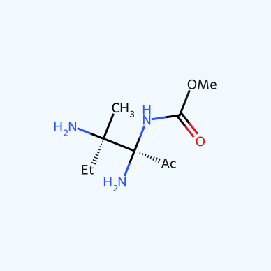 CC[C@@](C)(N)[C@](N)(NC(=O)OC)C(C)=O